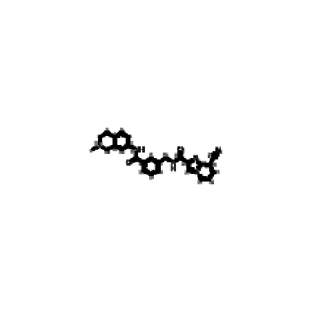 CN1CCc2ccc(NC(=O)c3cccc(CNC(=O)c4cn5cccc(C#N)c5n4)c3)cc2C1